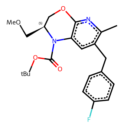 COC[C@H]1COc2nc(C)c(Cc3ccc(F)cc3)cc2N1C(=O)OC(C)(C)C